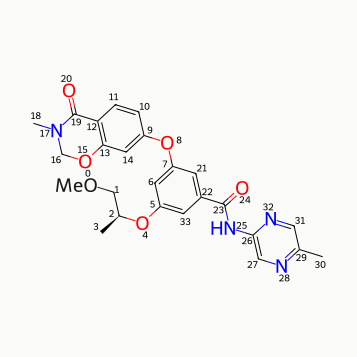 COC[C@H](C)Oc1cc(Oc2ccc3c(c2)OCN(C)C3=O)cc(C(=O)Nc2cnc(C)cn2)c1